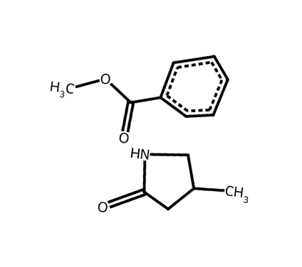 CC1CNC(=O)C1.COC(=O)c1ccccc1